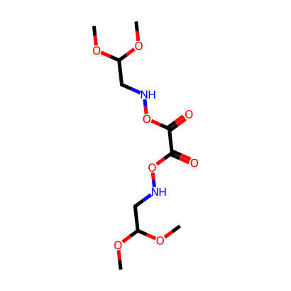 COC(CNOC(=O)C(=O)ONCC(OC)OC)OC